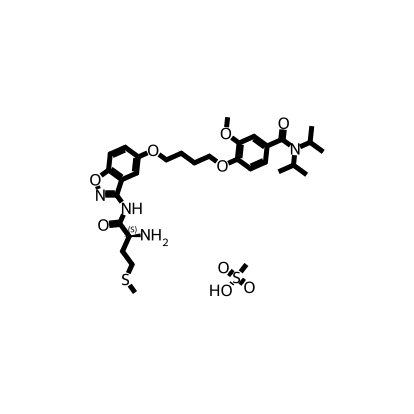 COc1cc(C(=O)N(C(C)C)C(C)C)ccc1OCCCCOc1ccc2onc(NC(=O)[C@@H](N)CCSC)c2c1.CS(=O)(=O)O